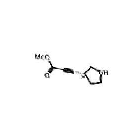 COC(=O)C#C[C@H]1CCNC1